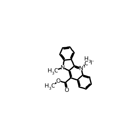 COC(=O)c1c2ccccc2[n+](C)c2c3ccccc3n(C)c12.[I-]